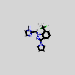 CC(F)(F)c1cccc2c(N3CCCC3)nn(CC3=NCCN3)c12